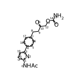 CC(=O)Nc1nc(-c2ccc(CCC(=O)COC(N)=O)cc2)cs1